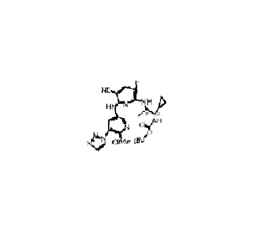 COc1ncc(Nc2nc(N[C@H](C)[C@@H](NC(=O)OC(C)(C)C)C3CC3)c(F)cc2C#N)cc1-n1ccnn1